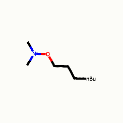 CCCCCCCON(C)C